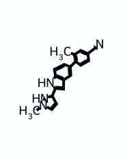 Cc1cc(C#N)ccc1-c1ccc2[nH]c(C3C=CN(C)N3)cc2c1